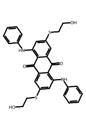 O=C1c2cc(SCCO)cc(Nc3ccccc3)c2C(=O)c2cc(SCCO)cc(Nc3ccccc3)c21